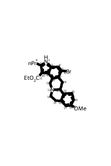 CCCc1[nH]c2cc(Br)c3c(c2c1C(=O)OCC)CN1CCc2cc(OC)ccc2C1C3